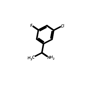 CC(N)c1cc(F)cc(Cl)c1